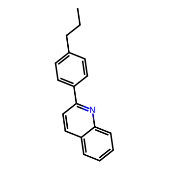 CCCc1ccc(-c2ccc3ccccc3n2)cc1